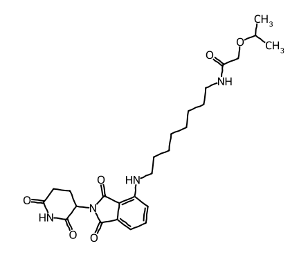 CC(C)OCC(=O)NCCCCCCCCNc1cccc2c1C(=O)N(C1CCC(=O)NC1=O)C2=O